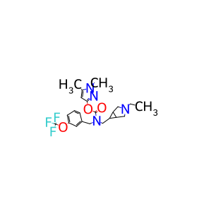 CCN1CC2C(C1)C2CN(Cc1cccc(OC(F)(F)F)c1)C(=O)Oc1cc(C)n(C)n1